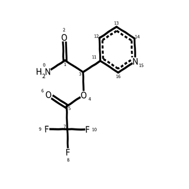 NC(=O)C(OC(=O)C(F)(F)F)c1cccnc1